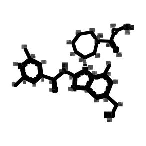 Cc1cc(C(=O)Nc2nc3cc(CO)cc(C)c3n2[C@@H]2CCCCN(C(=O)OC(C)(C)C)C2)cc(C)n1